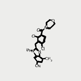 Cc1cc(C#N)cc2c1nc(Cc1c(Cl)ccc(C(=O)N3CCOCC3)c1Cl)n2C(C)C